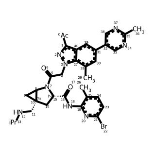 CC(=O)c1nn(CC(=O)N2C3C[C@]3(CNC(C)C)C[C@H]2C(=O)Nc2nc(Br)ccc2C)c2c(C)cc(-c3cnc(C)nc3)cc12